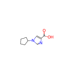 O=C(O)c1cn(C2CCCC2)cn1